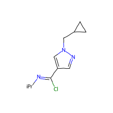 CC(C)N=C(Cl)c1cnn(CC2CC2)c1